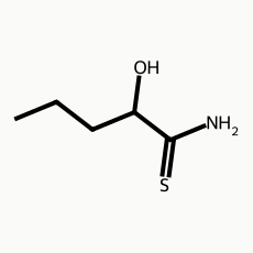 CCCC(O)C(N)=S